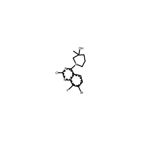 CC1(O)CCCN(c2nc(Cl)nc3c(F)c(Br)ccc23)C1